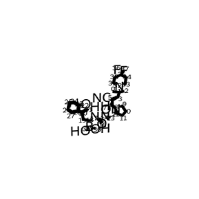 CC(C)(C=C(C#N)C(=O)N1CCC[C@@H]1CNC(=O)NC(Cc1coc2ccccc12)B(O)O)N1CCC(F)(F)CC1